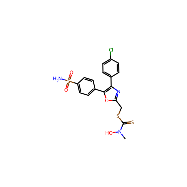 CN(O)C(=S)SCc1nc(-c2ccc(Cl)cc2)c(-c2ccc(S(N)(=O)=O)cc2)o1